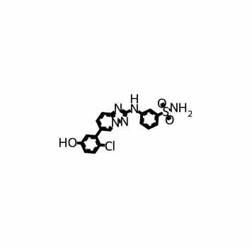 NS(=O)(=O)c1cccc(Nc2nc3ccc(-c4cc(O)ccc4Cl)cn3n2)c1